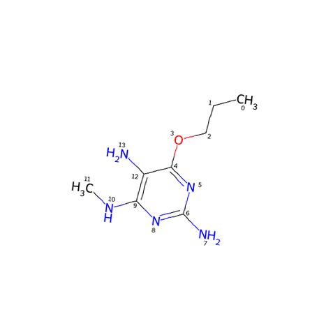 CCCOc1nc(N)nc(NC)c1N